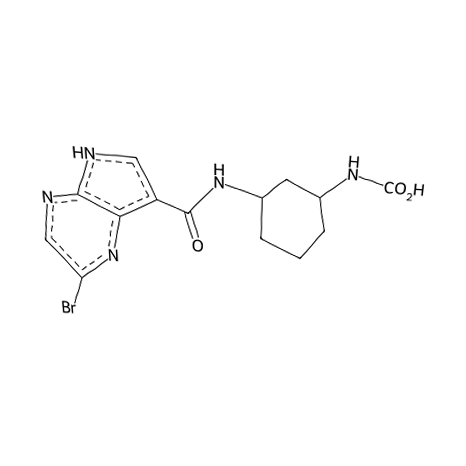 O=C(O)NC1CCCC(NC(=O)c2c[nH]c3ncc(Br)nc23)C1